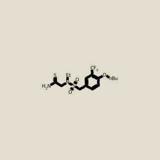 CCCCOc1ccc(CS(=O)(=O)N(CC)CC(N)=S)cc1C(F)(F)F